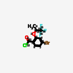 C[C@H](Oc1cc(Br)ccc1C(=O)Cl)C(F)(F)F